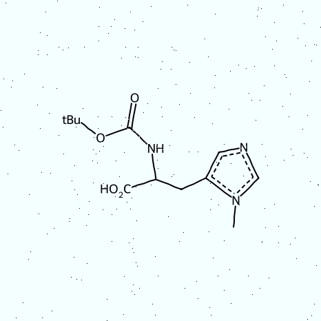 Cn1cncc1CC(NC(=O)OC(C)(C)C)C(=O)O